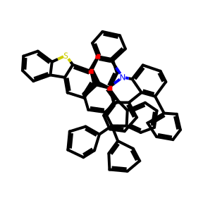 c1ccc(-c2ccccc2-c2c(-c3ccccc3)cccc2N(c2ccccc2-c2cccc3c2sc2ccccc23)c2cccc3c2-c2ccccc2C3(c2ccccc2)c2ccccc2)cc1